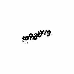 Cc1c(-c2ccc3c(c2)CCC3N)cccc1-c1cccc(-c2ccn3c(=O)c(CNCC4CCC(=O)N4)cnc3c2)c1C